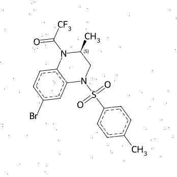 Cc1ccc(S(=O)(=O)N2C[C@H](C)N(C(=O)C(F)(F)F)c3ccc(Br)cc32)cc1